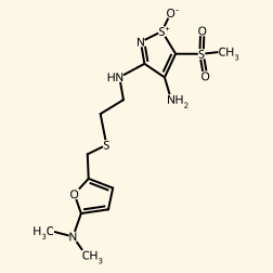 CN(C)c1ccc(CSCCNc2n[s+]([O-])c(S(C)(=O)=O)c2N)o1